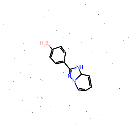 Bc1ccc(C2=NN3C=CC=CC3N2)cc1